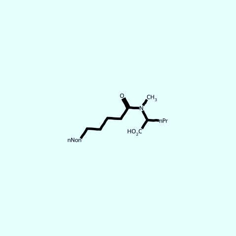 CCCCCCCCCCCCCC(=O)N(C)C(CCC)C(=O)O